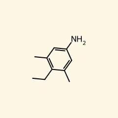 CCc1c(C)cc(N)cc1C